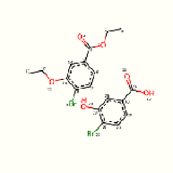 CCOC(=O)c1ccc(Br)c(OCC)c1.O=C(O)c1ccc(Br)c(O)c1